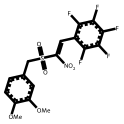 COc1ccc(CS(=O)(=O)C(=Cc2c(F)c(F)c(F)c(F)c2F)[N+](=O)[O-])cc1OC